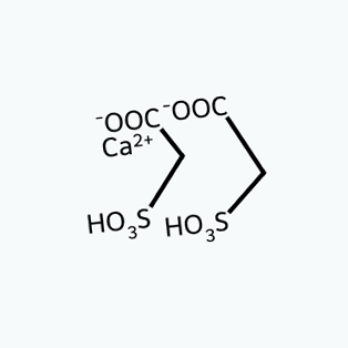 O=C([O-])CS(=O)(=O)O.O=C([O-])CS(=O)(=O)O.[Ca+2]